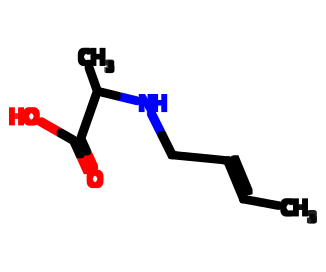 CC=CCNC(C)C(=O)O